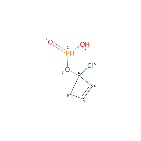 O=[PH](O)OC1(Cl)C=CC1